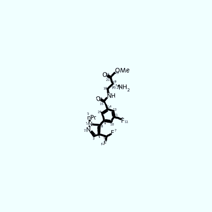 CCCn1ncc(C(F)F)c1-c1cc(F)cc(C(=O)NC[C@@H](N)C(=O)OC)c1